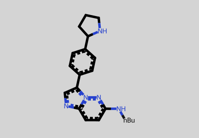 CCCCNc1ccc2ncc(-c3ccc(C4CCCN4)cc3)n2n1